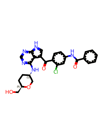 O=C(Nc1ccc(C(=O)c2c[nH]c3ncnc(N[C@H]4CC[C@H](CO)OC4)c23)c(Cl)c1)c1ccccc1